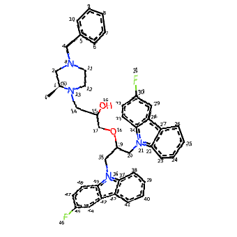 C[C@H]1CN(Cc2ccccc2)CCN1CC(O)COC(Cn1c2ccccc2c2cc(F)ccc21)Cn1c2ccccc2c2cc(F)ccc21